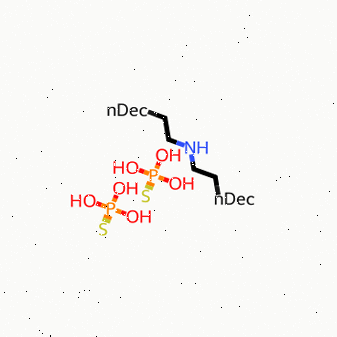 CCCCCCCCCCCCNCCCCCCCCCCCC.OP(O)(O)=S.OP(O)(O)=S